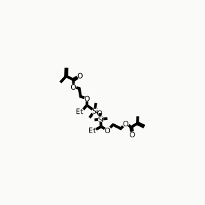 C=C(C)C(=O)OCCOC(CC)[Si](C)(C)O[Si](C)(C)C(CC)OCCOC(=O)C(=C)C